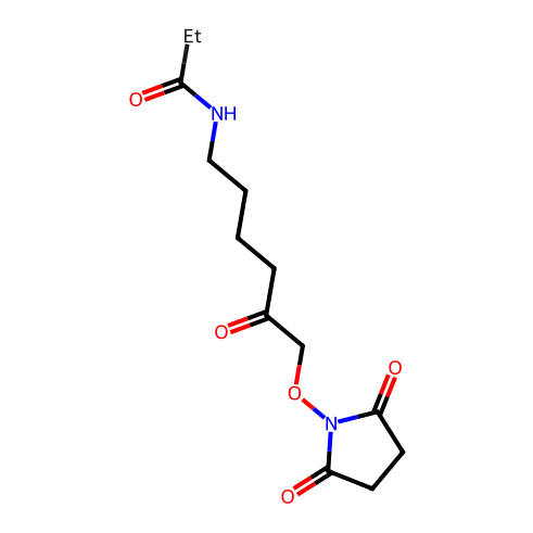 CCC(=O)NCCCCC(=O)CON1C(=O)CCC1=O